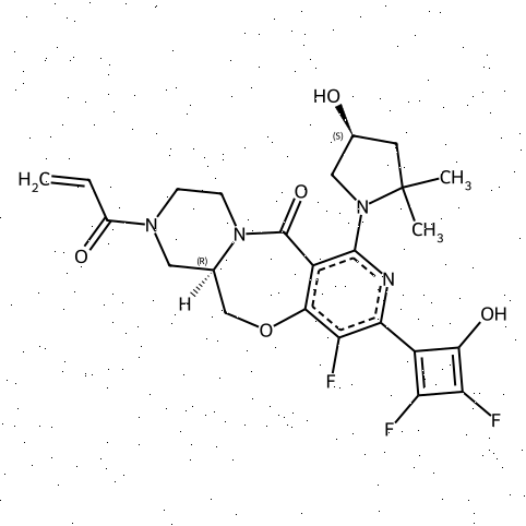 C=CC(=O)N1CCN2C(=O)c3c(N4C[C@@H](O)CC4(C)C)nc(C4=C(F)C(F)=C4O)c(F)c3OC[C@H]2C1